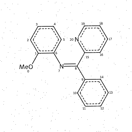 COc1ccccc1N=C(c1ccccc1)c1ccccn1